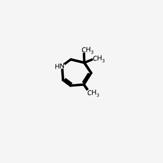 CC1=CC(C)(C)CNC=C1